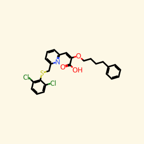 O=C(O)/C(=C\c1cccc(CSc2c(Cl)cccc2Cl)n1)OCCCCc1ccccc1